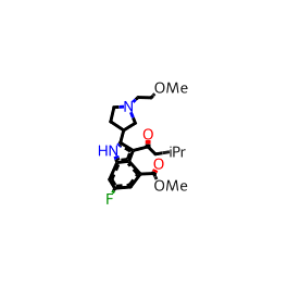 COCCN1CCC(c2[nH]c3cc(F)cc(C(=O)OC)c3c2C(=O)CC(C)C)C1